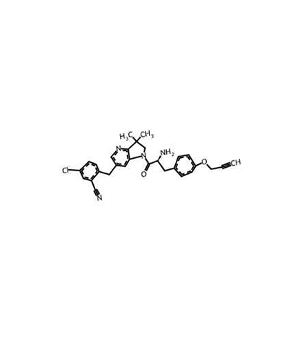 C#CCOc1ccc(C[C@H](N)C(=O)N2CC(C)(C)c3ncc(Cc4ccc(Cl)cc4C#N)cc32)cc1